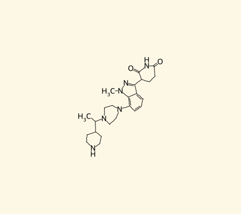 CC(C1CCNCC1)N1CCN(c2cccc3c(C4CCC(=O)NC4=O)nn(C)c23)CC1